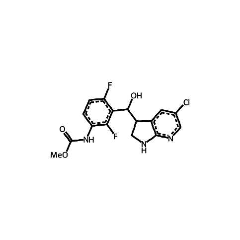 COC(=O)Nc1ccc(F)c(C(O)C2CNc3ncc(Cl)cc32)c1F